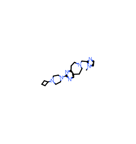 Cn1ccnc1CN1CCc2cnc(N3CCN(C4CCC4)CC3)nc2CC1